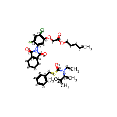 CCCCCOC(=O)COc1cc(N2C(=O)C3=C(CCCC3)C2=O)c(F)cc1Cl.CCN(C(=O)SCc1ccccc1)C(C)C(C)C